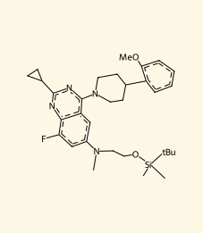 COc1ccccc1C1CCN(c2nc(C3CC3)nc3c(F)cc(N(C)CCO[Si](C)(C)C(C)(C)C)cc23)CC1